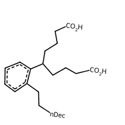 CCCCCCCCCCCCc1ccccc1C(CCCC(=O)O)CCCC(=O)O